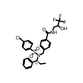 CC[C@@H](c1ccccc1)N(Cc1ccc(C(=O)NCC(O)C(F)(F)F)cc1)S(=O)(=O)c1ccc(Cl)cc1